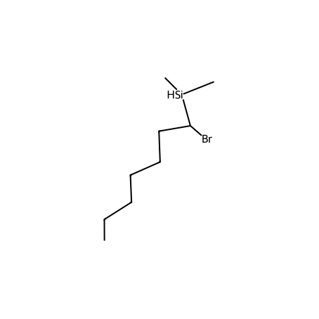 CCCCCCC(Br)[SiH](C)C